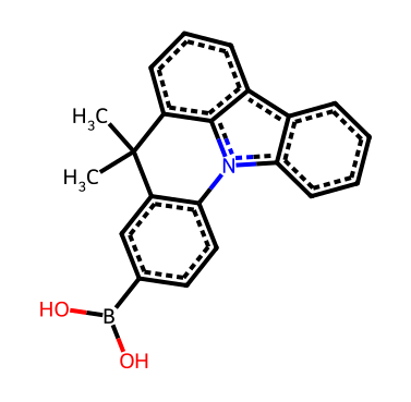 CC1(C)c2cc(B(O)O)ccc2-n2c3ccccc3c3cccc1c32